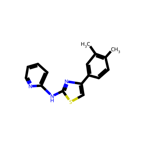 Cc1ccc(-c2csc(Nc3ccccn3)n2)cc1C